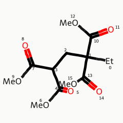 [CH2]CC(CC(C(=O)OC)C(=O)OC)(C(=O)OC)C(=O)OC